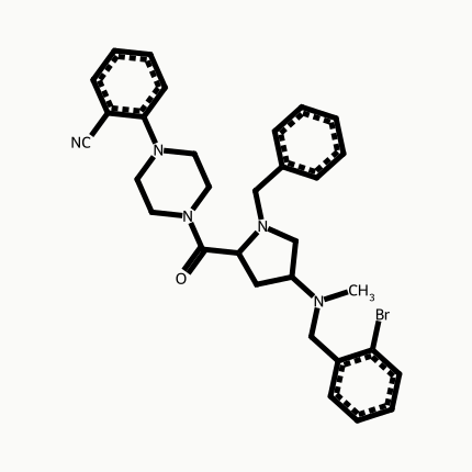 CN(Cc1ccccc1Br)C1CC(C(=O)N2CCN(c3ccccc3C#N)CC2)N(Cc2ccccc2)C1